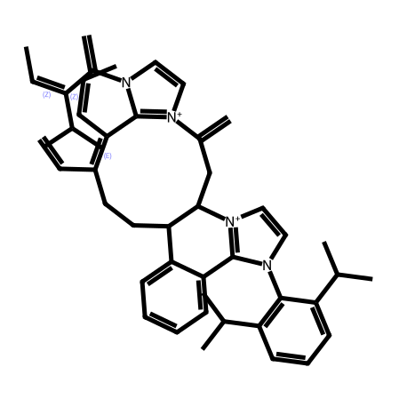 C=C/C1=C(\C=C/C)c2n(C(=C)/C(=C\C)C(C)C)cc[n+]2C(=C)CC2C(CC1)c1ccccc1-c1n(-c3c(C(C)C)cccc3C(C)C)cc[n+]12